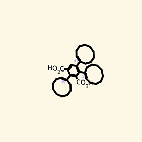 O=C(O)c1cc(/C2=C/CCCCCCCC2)c(/C2=C/CCCCCCCC2)c(C(=O)O)c1/C1=C/CCCCCCCC1